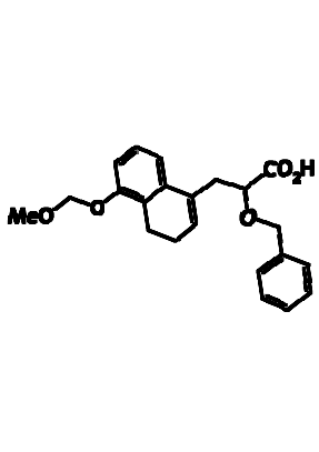 COCOc1cccc2c1CCC=C2CC(OCc1ccccc1)C(=O)O